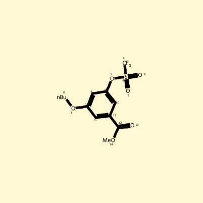 CCCCOc1cc(OS(=O)(=O)C(F)(F)F)cc(C(=O)OC)c1